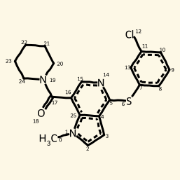 Cn1ccc2c(Sc3cccc(Cl)c3)ncc(C(=O)N3CCCCC3)c21